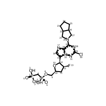 O=P(O)(O)CP(=O)(O)OC[C@@H]1C[C@H](F)[C@H](c2cnc3c(N4CC5CCCC5C4)nc(Cl)nn23)O1